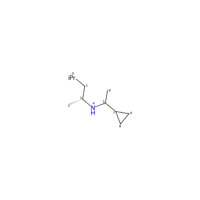 CC(C)C[C@@H](C)NC(C)C1CC1